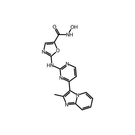 Cc1nc2ccccn2c1-c1ccnc(Nc2ncc(C(=O)NO)o2)n1